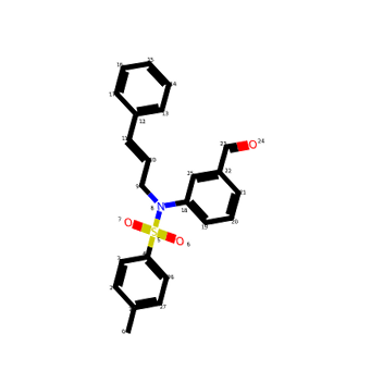 Cc1ccc(S(=O)(=O)N(CC=Cc2ccccc2)c2cccc(C=O)c2)cc1